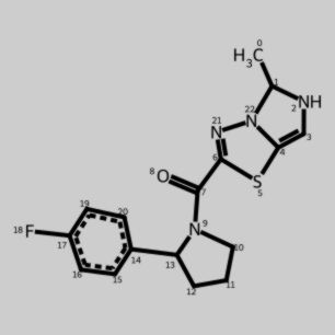 CC1NC=C2SC(C(=O)N3CCCC3c3ccc(F)cc3)=NN21